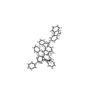 c1ccc(-c2nc(-c3ccccc3)nc(-c3ccccc3-n3c4ccccc4c4ccc5c(c6ccccc6n5-c5ccc6oc7ccccc7c6c5)c43)n2)cc1